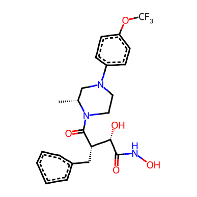 C[C@@H]1CN(c2ccc(OC(F)(F)F)cc2)CCN1C(=O)[C@@H](Cc1ccccc1)[C@H](O)C(=O)NO